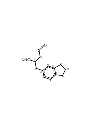 CC(=O)SCC([C]=O)Cc1ccc2c(c1)CCC2